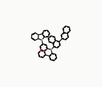 C1=CC2c3ccccc3N(c3cccc(N(c4ccccc4-c4ccccc4)c4ccc(-c5ccc6ccccc6c5)c5ccccc45)c3)C2C=C1